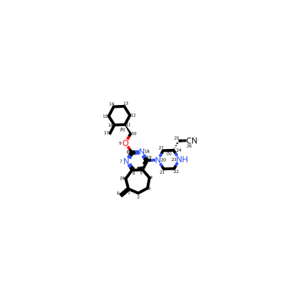 C=C1CCCc2c(nc(OC[C@@H]3CCCCC3C)nc2N2CCN[C@@H](CC#N)C2)C1